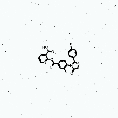 Cc1cc(C(=O)Oc2ncccc2C(=O)O)ccc1N1C(=O)CSC1c1ccc(F)cc1